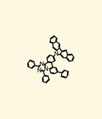 c1ccc(-c2cccc(-c3cc(-n4c5cc6ccccc6cc5c5cc6ccccc6cc54)ccc3-c3nc(-c4ccccc4)nc(-c4ccccc4)n3)c2)cc1